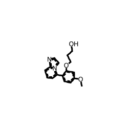 COc1ccc(-c2cccc3nccn23)c(OCCCO)c1